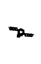 O=C([O-])c1ccc(C(=O)[O-])cc1.[S+2]